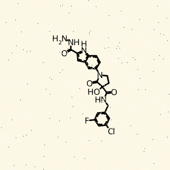 NNC(=O)c1cc2cc(N3CCC(O)(C(=O)NCc4cc(F)cc(Cl)c4)C3=O)ccc2[nH]1